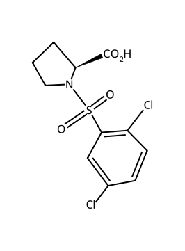 O=C(O)[C@@H]1CCCN1S(=O)(=O)c1cc(Cl)ccc1Cl